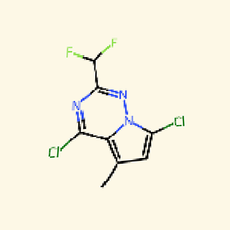 Cc1cc(Cl)n2nc(C(F)F)nc(Cl)c12